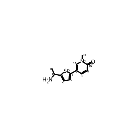 CC(N)c1ccc(-c2ccc(=O)n(C)c2)s1